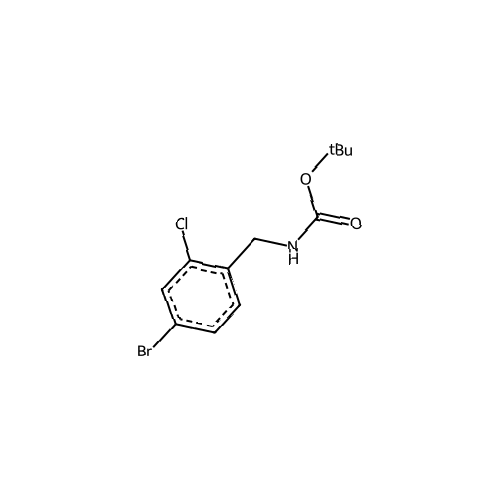 CC(C)(C)OC(=O)NCc1ccc(Br)cc1Cl